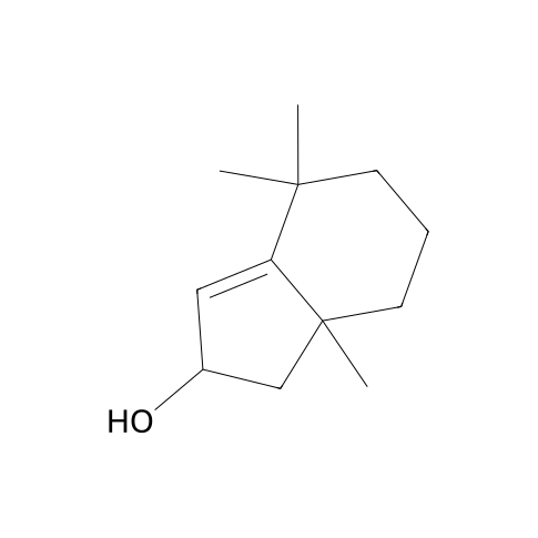 CC1(C)CCCC2(C)CC(O)C=C12